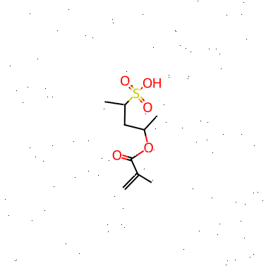 C=C(C)C(=O)OC(C)CC(C)S(=O)(=O)O